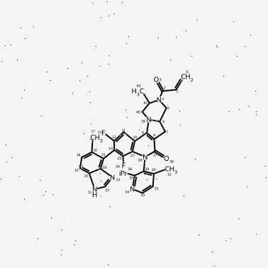 C=CC(=O)N1CC2Cc3c(c4cc(F)c(-c5c(C)ccc6[nH]cnc56)c(F)c4n(-c4c(C)ccnc4C(C)C)c3=O)N2CC1C